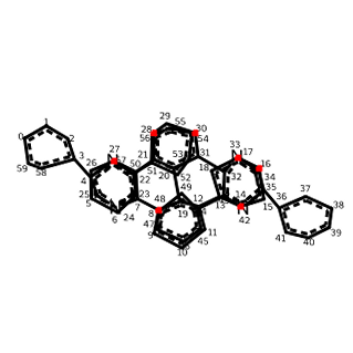 c1ccc(-c2cnc(-c3cccc(-c4ccccc4)c3-c3c(-c4ccccc4)cccc3-c3ncc(-c4ccccc4)nc3-c3ccccc3)c(-c3ccccc3)n2)cc1